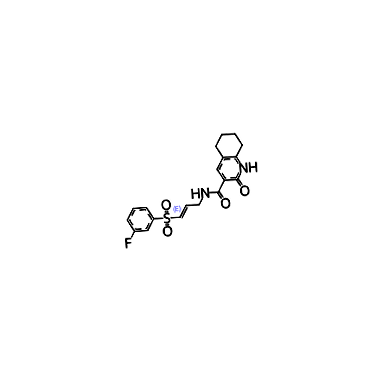 O=C(NC/C=C/S(=O)(=O)c1cccc(F)c1)c1cc2c([nH]c1=O)CCCC2